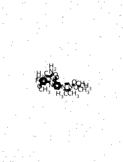 COc1cc(-c2nc3ccc(N4CCN(C(=O)OC(C)(C)C)CC(C)(C)C4)cc3c(=O)n2C(C(N)=O)C(C)C)ccc1F